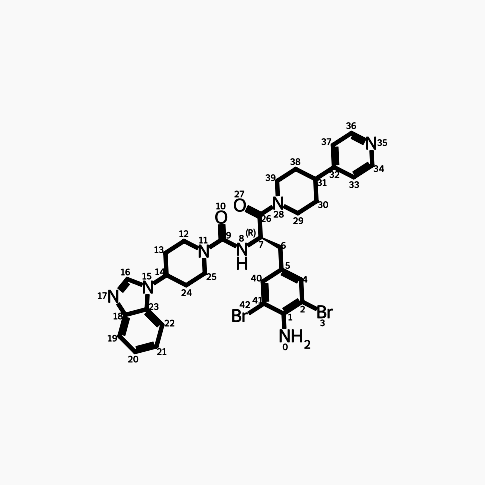 Nc1c(Br)cc(C[C@@H](NC(=O)N2CCC(n3cnc4ccccc43)CC2)C(=O)N2CCC(c3ccncc3)CC2)cc1Br